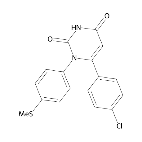 CSc1ccc(-n2c(-c3ccc(Cl)cc3)cc(=O)[nH]c2=O)cc1